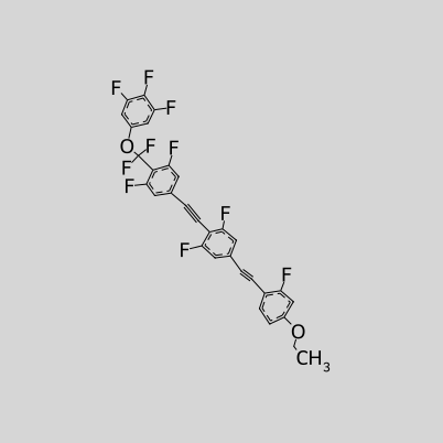 CCOc1ccc(C#Cc2cc(F)c(C#Cc3cc(F)c(C(F)(F)Oc4cc(F)c(F)c(F)c4)c(F)c3)c(F)c2)c(F)c1